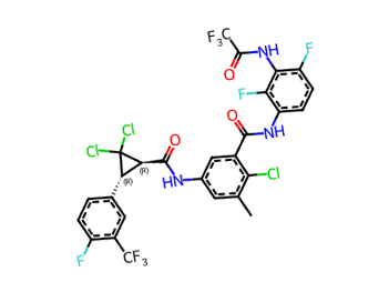 Cc1cc(NC(=O)[C@H]2[C@H](c3ccc(F)c(C(F)(F)F)c3)C2(Cl)Cl)cc(C(=O)Nc2ccc(F)c(NC(=O)C(F)(F)F)c2F)c1Cl